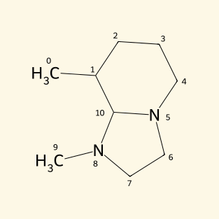 CC1CCCN2CCN(C)C12